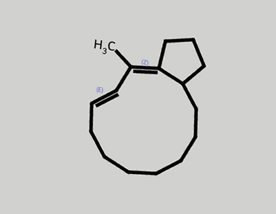 CC1=C2\CCCC2CCCCCCC\C=C\1